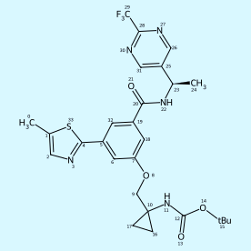 Cc1cnc(-c2cc(OCC3(NC(=O)OC(C)(C)C)CC3)cc(C(=O)N[C@H](C)c3cnc(C(F)(F)F)nc3)c2)s1